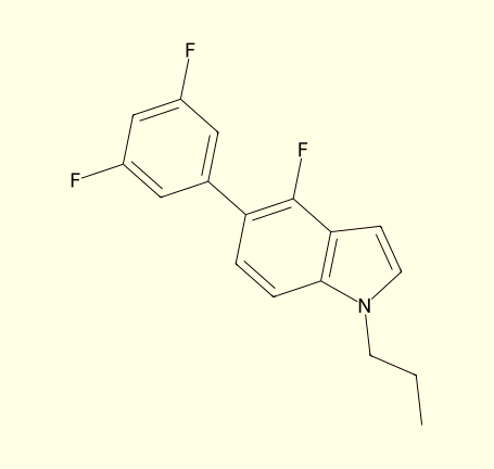 CCCn1ccc2c(F)c(-c3cc(F)cc(F)c3)ccc21